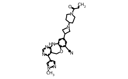 C=CC(=O)N1CCC(N2CC(c3cc(C#N)c4c(c3)Nc3ncnc(-c5cnn(C)c5)c3CO4)C2)CC1